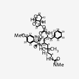 CNC(=O)NCCC(C)(C)CC(NS(=O)(=O)c1ccc(OC)cc1)[C@H](O)[C@H](Cc1ccccc1)NC(=O)O[C@H]1CO[C@H]2OCC[C@H]21